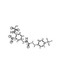 CC(C)(C)c1ccc(CCC(=O)NCc2ccc(NS(C)(=O)=O)c([N+](=O)[O-])c2)cc1